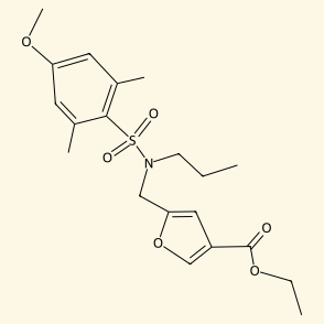 CCCN(Cc1cc(C(=O)OCC)co1)S(=O)(=O)c1c(C)cc(OC)cc1C